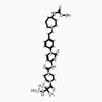 CC(C)(C)OC(=O)NC1CCCN(CCc2ccc(-n3ccc(NC(=O)N4CCN(C(=O)C(C)(C)NC(=O)O)CC4)nc3=O)cc2)CC1